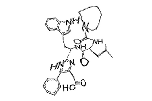 CC(C)C[C@H](NC(=O)N1CCCCCC1)C(=O)N[C@H](Cc1c[nH]c2ccccc12)c1nc(C(=O)O)c(-c2ccccc2)[nH]1